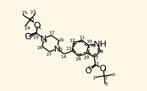 CC(C)(C)OC(=O)c1c[nH]c2ccc(CN3CCN(C(=O)OC(C)(C)C)CC3)cc12